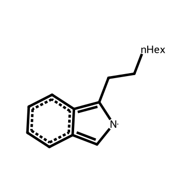 CCCCCCCCC1=c2ccccc2=C[N]1